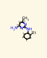 CCc1ccccc1Nc1nc(C)cc(N)n1